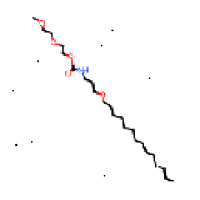 CCCCCCCCCCCCCCOCCCNC(=O)OCCOCCOC